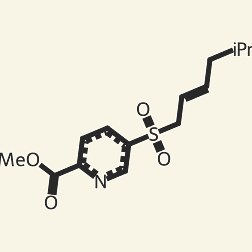 COC(=O)c1ccc(S(=O)(=O)CC=CCC(C)C)cn1